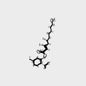 CC(C)[C@@H]1CC[C@@H](C)C[C@H]1OC(=O)CCCCCCCCCO